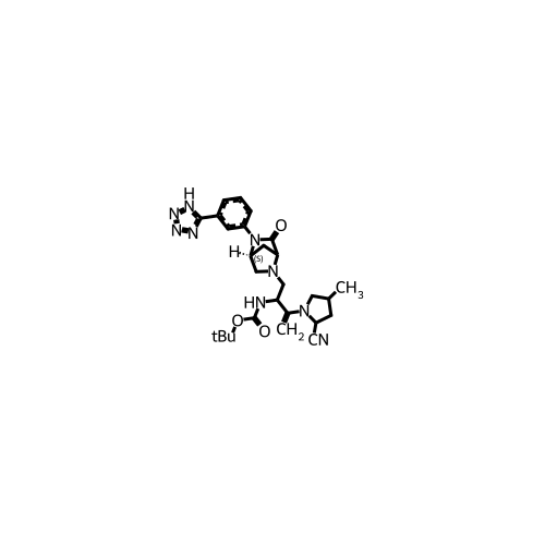 C=C(C(CN1C[C@@H]2CC1C(=O)N2c1cccc(-c2nnn[nH]2)c1)NC(=O)OC(C)(C)C)N1CC(C)CC1C#N